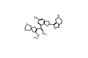 C=NC1=C(/C(=C\C)c2cc(Cl)cc3c2OC(c2onc4c2CNCC4)C3)CC2(COCOC2)C1